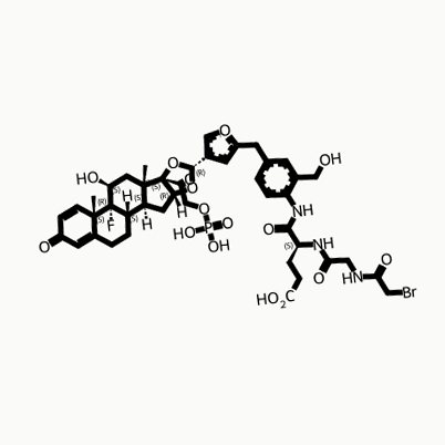 C[C@]12C=CC(=O)C=C1CC[C@H]1[C@@H]3C[C@H]4O[C@@H](c5coc(Cc6ccc(NC(=O)[C@H](CCC(=O)O)NC(=O)CNC(=O)CBr)c(CO)c6)c5)O[C@@]4(C(=O)COP(=O)(O)O)[C@@]3(C)C[C@H](O)[C@@]12F